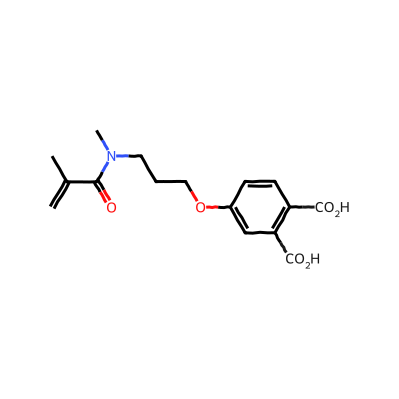 C=C(C)C(=O)N(C)CCCOc1ccc(C(=O)O)c(C(=O)O)c1